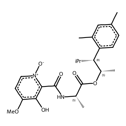 COc1cc[n+]([O-])c(C(=O)N[C@@H](C)C(=O)O[C@@H](C)[C@@H](c2ccc(C)cc2C)C(C)C)c1O